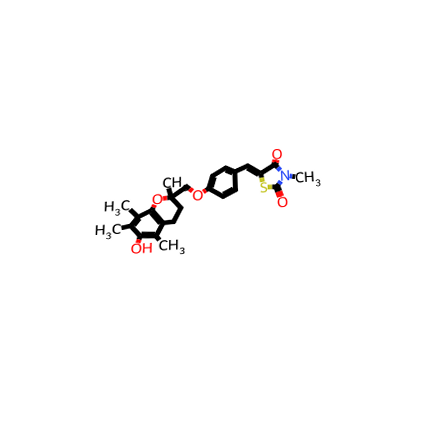 Cc1c(C)c2c(c(C)c1O)CCC(C)(COc1ccc(/C=C3\SC(=O)N(C)C3=O)cc1)O2